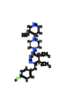 Cc1c(Cc2ccc(F)cc2)nnc(N2CCN(c3ccncc3C#N)CC2)c1C